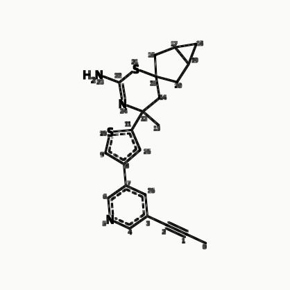 CC#Cc1cncc(-c2csc(C3(C)CC4(CC5CC5C4)SC(N)=N3)c2)c1